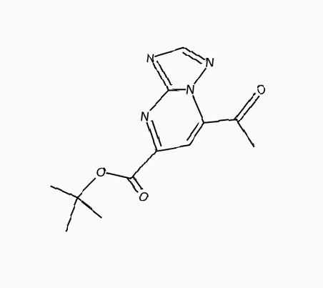 CC(=O)c1cc(C(=O)OC(C)(C)C)nc2ncnn12